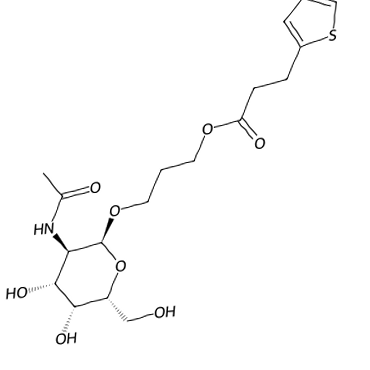 CC(=O)N[C@H]1[C@@H](OCCCOC(=O)CCc2cccs2)O[C@H](CO)[C@H](O)[C@@H]1O